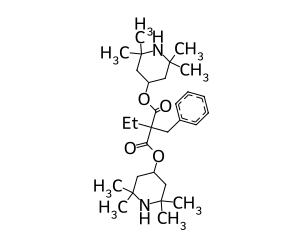 CCC(Cc1ccccc1)(C(=O)OC1CC(C)(C)NC(C)(C)C1)C(=O)OC1CC(C)(C)NC(C)(C)C1